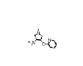 CN1CC(N)C(Oc2ccccn2)C1